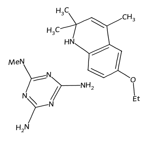 CCOc1ccc2c(c1)C(C)=CC(C)(C)N2.CNc1nc(N)nc(N)n1